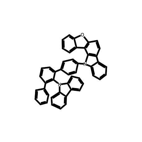 c1ccc(-c2cccc(-c3ccc(-n4c5ccccc5c5ccc6oc7ccccc7c6c54)cc3)c2-n2c3ccccc3c3ccccc32)cc1